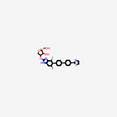 OC[C@H]1OCC(Oc2nc3c(F)c(-c4ccc(-c5ccc(-c6nccs6)cc5)cc4)c(F)cc3[nH]2)C1O